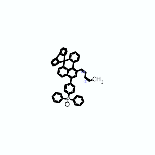 C/C=C\C=C/c1cc(-c2ccc(P(=O)(c3ccccc3)c3ccccc3)cc2)c2cccc3c2c1-c1ccccc1C31c2ccccc2-c2ccccc21